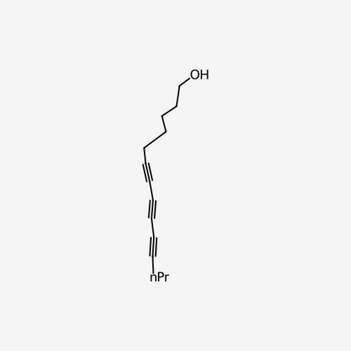 CCCC#CC#CC#CCCCCCO